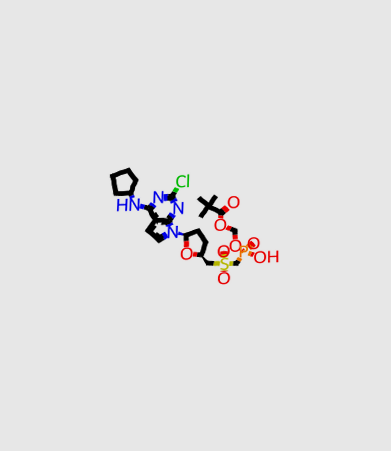 CC(C)(C)C(=O)OCOP(=O)(O)CS(=O)(=O)C[C@@H]1CC[C@H](n2ccc3c(NC4CCCC4)nc(Cl)nc32)O1